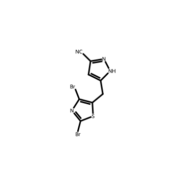 N#Cc1cc(Cc2sc(Br)nc2Br)[nH]n1